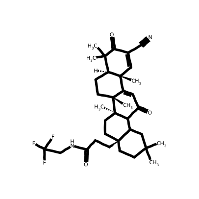 CC1(C)CC[C@]2(CCC(=O)NCC(F)(F)F)CC[C@]3(C)C(C(=O)C=C4[C@@]5(C)C=C(C#N)C(=O)C(C)(C)[C@@H]5CC[C@]43C)C2C1